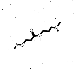 CSSCCC(=O)NCCCN(C)C